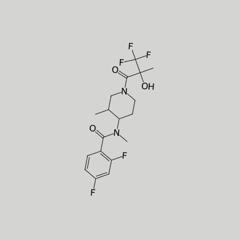 CC1CN(C(=O)C(C)(O)C(F)(F)F)CCC1N(C)C(=O)c1ccc(F)cc1F